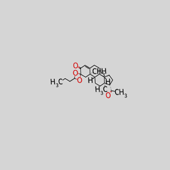 CCCC1OC2(C[C@@]3(C)C(=CC2=O)CC[C@H]2[C@@H]4CC[C@H](C(C)=O)[C@@]4(C)CC[C@@H]23)O1